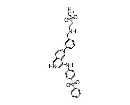 CS(=O)(=O)CCNCc1cccc(N2C=CC3=CNC=C(Nc4ccc(S(=O)(=O)c5ccccc5)cc4)C3=C2)c1